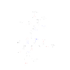 CC(C)[C@H](NC(=O)[C@H](CC(=O)OC(C)(C)C)NC(=O)[C@H](COC(C)(C)C)NC(=O)[C@@H](N)[C@@H](C)OC(C)(C)C)C(=O)N[C@@H](CO)C(=O)O